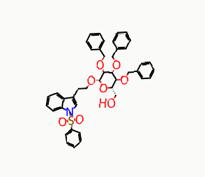 O=S(=O)(c1ccccc1)n1cc(CCO[C@H]2O[C@@H](CO)[C@H](OCc3ccccc3)[C@@H](OCc3ccccc3)[C@@H]2OCc2ccccc2)c2ccccc21